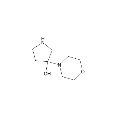 OC1(N2CCOCC2)CCNC1